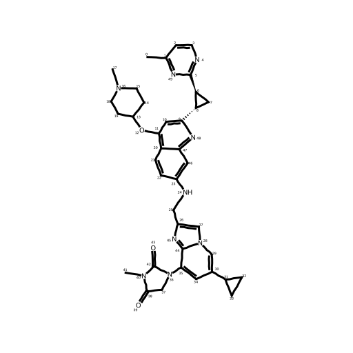 Cc1ccnc([C@H]2C[C@@H]2c2cc(OC3CCN(C)CC3)c3ccc(NCc4cn5cc(C6CC6)cc(N6CC(=O)N(C)C6=O)c5n4)cc3n2)n1